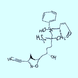 C#CC1=NO[C@H]([C@@H](O)CCC(C)(C)[Si](O)(c2ccccc2)c2ccccc2)C1